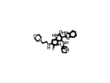 O=c1[nH]c2cc(NCCN3CCOCC3)c(F)cc2c(N[C@H]2CN3CCC2CC3)c1-c1nc2ccccc2[nH]1